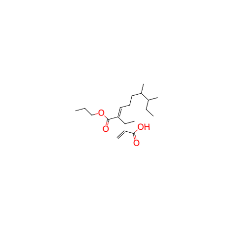 C=CC(=O)O.CCCOC(=O)C(=CCCC(C)C(C)CC)CC